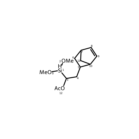 CO[SiH](OC)C(CC1CC2C=CC1C2)OC(C)=O